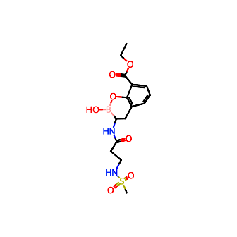 CCOC(=O)c1cccc2c1OB(O)C(NC(=O)CCNS(C)(=O)=O)C2